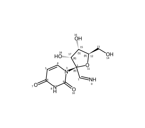 N=C[C@@]1(n2ccc(=O)[nH]c2=O)O[C@H](CO)[C@@H](O)[C@H]1O